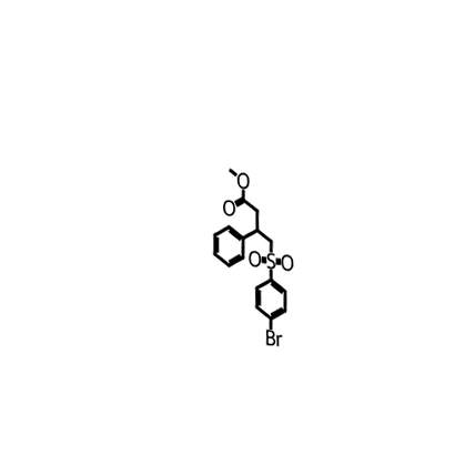 COC(=O)CC(CS(=O)(=O)c1ccc(Br)cc1)c1ccccc1